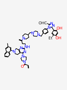 C=CC(=O)N1CCN(c2nc(NCCC(=C)N3CCC(CN4CCN(Cc5ccc(-n6c(C=O)nnc6-c6cc(CC)c(O)cc6O)cc5)CC4)CC3)nc3c2CCN(c2cc(C)cc4ccccc24)C3)CC1